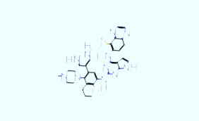 CN/C=C(\C=N)c1cc(Nc2nc(Nc3ccc4nccnc4c3P(C)C)c3cc[nH]c3n2)c2c(c1N1CCN(C)CC1)CCCO2